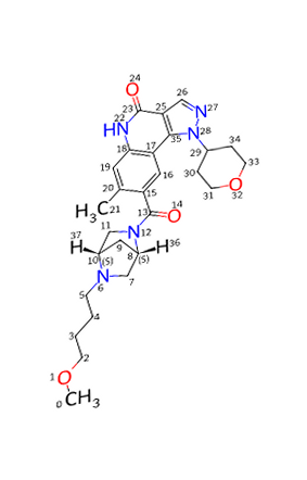 COCCCCN1C[C@@H]2C[C@H]1CN2C(=O)c1cc2c(cc1C)[nH]c(=O)c1cnn(C3CCOCC3)c12